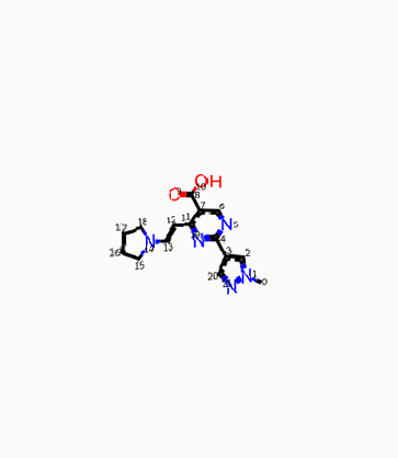 Cn1cc(-c2ncc(C(=O)O)c(/C=C/N3CCCC3)n2)cn1